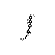 C=CCCCOc1ccc(CCC2CCC(c3ccc(C4CCC(C)CC4)c(F)c3F)CC2)cc1F